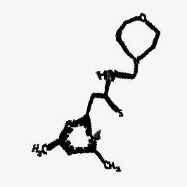 Cc1cc(C)nc(CC(=S)NCN2CCOCC2)n1